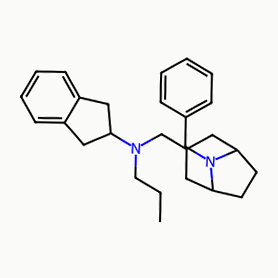 CCCN(CC1CC2CCC(C1)N2Cc1ccccc1)C1Cc2ccccc2C1